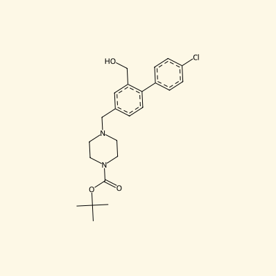 CC(C)(C)OC(=O)N1CCN(Cc2ccc(-c3ccc(Cl)cc3)c(CO)c2)CC1